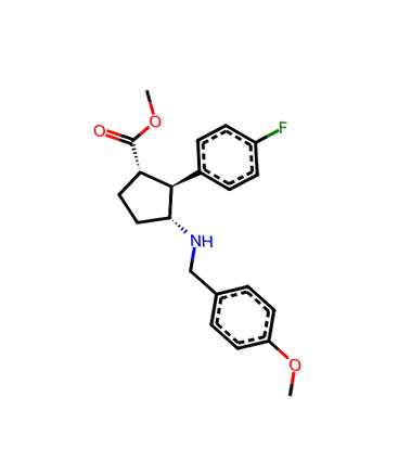 COC(=O)[C@H]1CC[C@@H](NCc2ccc(OC)cc2)[C@@H]1c1ccc(F)cc1